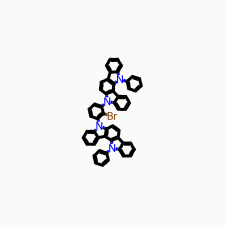 Brc1c(-n2c3ccccc3c3c2ccc2c4ccccc4n(-c4ccccc4)c23)cccc1-n1c2ccccc2c2c1ccc1c3ccccc3n(-c3ccccc3)c12